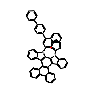 c1ccc(-c2ccc(-c3cc(-n4c5ccccc5c5c6c7ccccc7c7ccccc7c6c6c7ccccc7n(-c7ccccc7)c6c54)nc4ccccc34)cc2)cc1